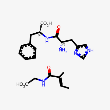 CC=C(C)C(=O)NCC(=O)O.N[C@@H](Cc1c[nH]cn1)C(=O)N[C@@H](Cc1ccccc1)C(=O)O